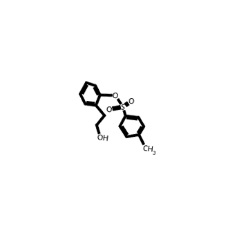 Cc1ccc(S(=O)(=O)Oc2ccccc2CCO)cc1